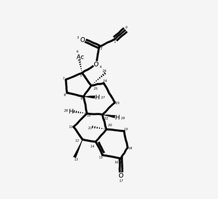 C#CC(=O)O[C@]1(C(C)=O)CC[C@H]2[C@@H]3C[C@H](C)C4=CC(=O)CC[C@]4(C)[C@H]3CC[C@@]21C